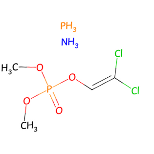 COP(=O)(OC)OC=C(Cl)Cl.N.P